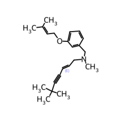 CC(C)=CCOc1cccc(CN(C)C/C=C/C#CC(C)(C)C)c1